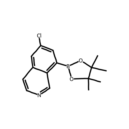 CC1(C)OB(c2cc(Cl)cc3ccncc23)OC1(C)C